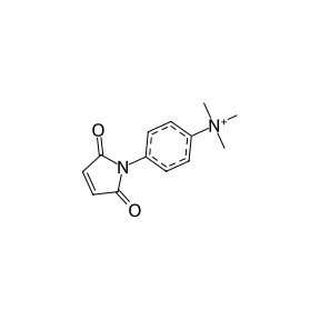 C[N+](C)(C)c1ccc(N2C(=O)C=CC2=O)cc1